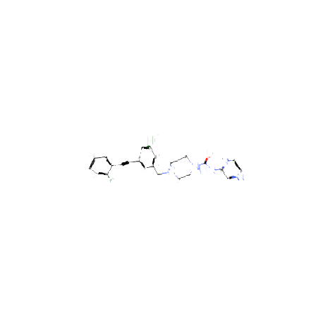 Cl.O=C(Nc1cnccn1)N1CCN(Cc2cccc(C#Cc3ccccc3Cl)c2)CC1